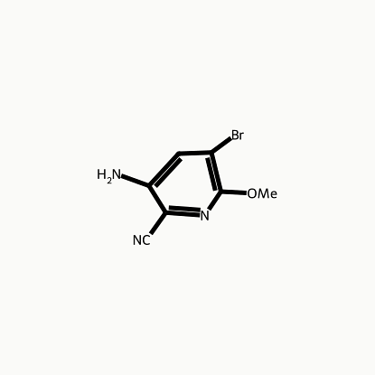 COc1nc(C#N)c(N)cc1Br